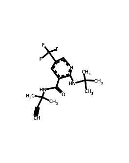 C#CC(C)(C)NC(=O)c1cc(C(F)(F)F)cnc1NC(C)(C)C